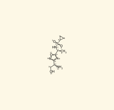 C[C@H](NS(=O)(=O)C1CC1)c1nc([C@@H](N)CO)no1